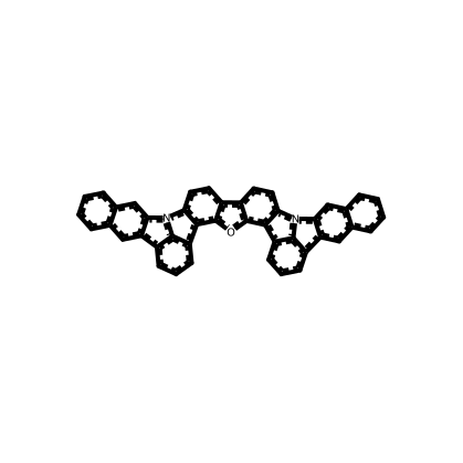 c1ccc2cc3c(cc2c1)c1cccc2c4c5oc6c(ccc7c6c6cccc8c9cc%10ccccc%10cc9n7c86)c5ccc4n3c12